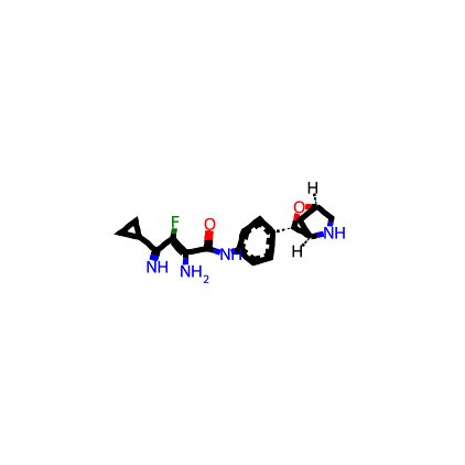 N=C(/C(F)=C(\N)C(=O)Nc1ccc([C@@H]2O[C@H]3CN[C@@H]2C3)cc1)C1CC1